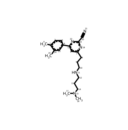 Cc1ccc(-c2cc(CCCNCCCN(C)C)nc(C#N)n2)cc1C